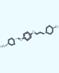 CCC[C@H]1CC[C@H](COc2ccc(OCCC[C@H]3CC[C@H](CC)CC3)cc2)CC1